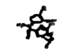 COc1cc(N(C)C(=O)c2cc(C)c3ncc(Br)n3c2)ccc1C#N